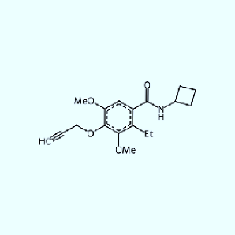 C#CCOc1c(OC)cc(C(=O)NC2CCC2)c(CC)c1OC